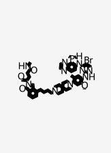 CNC(=O)CCC(C=O)N1Cc2c(CCCCN3CCC4(CC3)CCN(c3cc(OC)c(Nc5ncc(Br)c(Nc6ccc7nccnc7c6P(C)C)n5)cc3C)CC4)cccc2C1=O